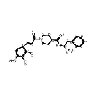 CSc1ccc(C=CC(=O)N2CCC(C(=O)NC(Cc3ccccc3)C(=O)O)CC2)c(Cl)c1Cl